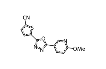 COc1ccc(-c2nnc(-c3ccc(C#N)s3)o2)cn1